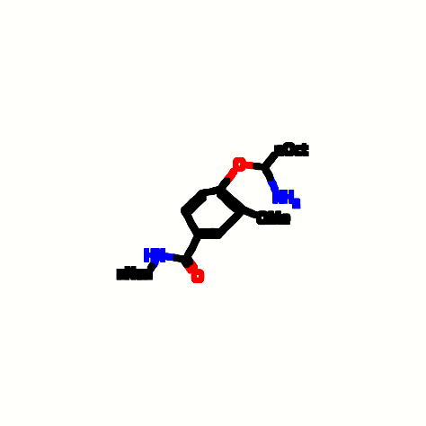 CCCCCCCCCNC(=O)c1ccc(OC(N)CCCCCCCC)c(OC)c1